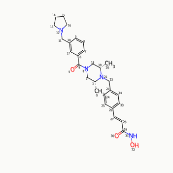 C[C@@H]1CN(C(=O)c2cccc(CN3CCCC3)c2)C[C@H](C)N1Cc1ccc(/C=C/C(=O)NO)cc1